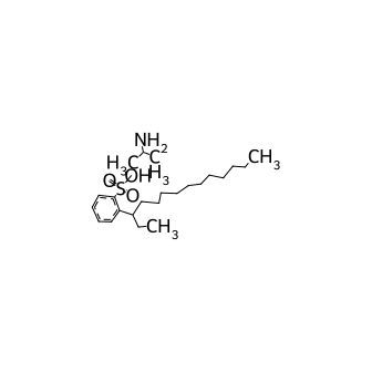 CC(C)N.CCCCCCCCCCCC(CC)c1ccccc1S(=O)(=O)O